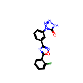 O=c1[nH]nnn1-c1cccc(-c2noc(-c3ccccc3F)n2)c1